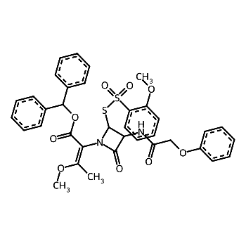 COC(C)=C(C(=O)OC(c1ccccc1)c1ccccc1)N1C(=O)C(NC(=O)COc2ccccc2)C1SS(=O)(=O)c1ccccc1OC